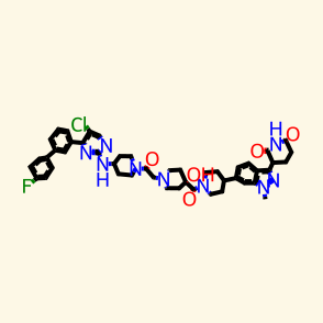 Cn1nc(C2CCC(=O)NC2=O)c2ccc(C3CCN(C(=O)C4(O)CCN(CC(=O)N5CCC(Nc6ncc(Cl)c(-c7cccc(-c8ccc(F)cc8)c7)n6)CC5)CC4)CC3)cc21